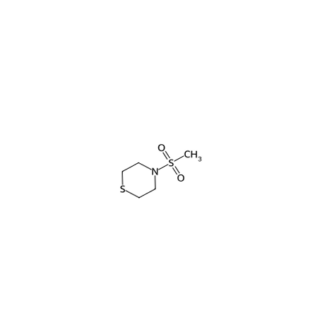 CS(=O)(=O)N1CCSCC1